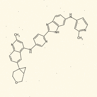 Cc1cc(Nc2ccc3nc(-c4ccc(Nc5cc(C)nc6ccc(C78CCOCC7C8)cc56)cn4)[nH]c3c2)ccn1